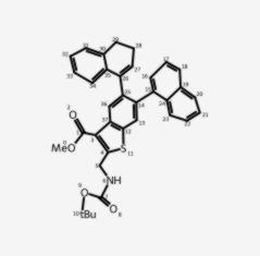 COC(=O)c1c(CNC(=O)OC(C)(C)C)sc2cc(-c3cccc4ccccc34)c(C3=CCCc4ccccc43)cc12